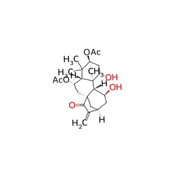 C=C1C(=O)[C@]23C[C@H]1C[C@H](O)[C@H]2[C@@]1(C)[C@H]([C@@H](OC(C)=O)C3)C(C)(C)[C@@H](OC(C)=O)C[C@@H]1O